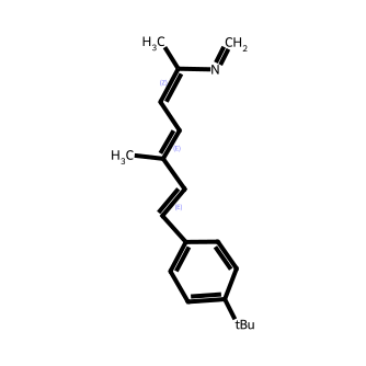 C=N\C(C)=C/C=C(C)/C=C/c1ccc(C(C)(C)C)cc1